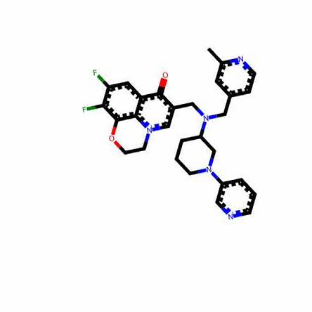 Cc1cc(CN(Cc2cn3c4c(c(F)c(F)cc4c2=O)OCC3)C2CCCN(c3cccnc3)C2)ccn1